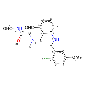 COc1ccc(F)c(CNc2cccc(C=O)c2CN(C)CC(=O)NC=O)c1